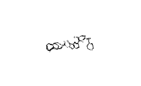 O=C(CN1Cc2ccc(-c3nc(NC4CCOCC4)ncc3Cl)cc2C1=O)N1CC2CC(C1)c1ccccc12